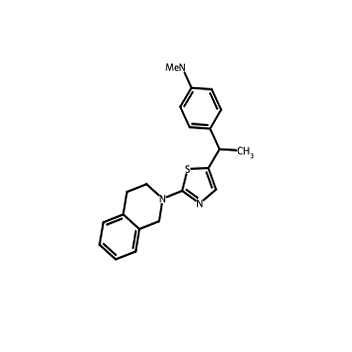 CNc1ccc(C(C)c2cnc(N3CCc4ccccc4C3)s2)cc1